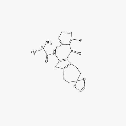 C[C@H](N)C(=O)Nc1sc2c(c1C(=O)c1c(F)cccc1F)CCC1(CC2)OC=CO1